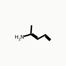 C=C/C=C(\C)N